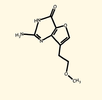 COCCc1coc2c(=O)[nH]c(N)nc12